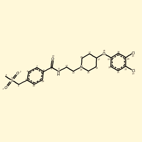 CS(=O)(=O)Cc1ccc(C(=O)NCCN2CCC(Oc3ccc(Cl)c(Cl)c3)CC2)cc1